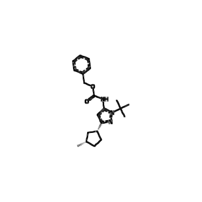 C[C@H]1CC[C@@H](c2cc(NC(=O)OCc3ccccc3)n(C(C)(C)C)n2)C1